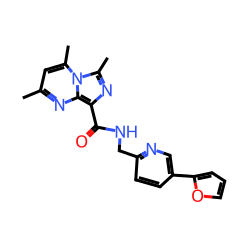 Cc1cc(C)n2c(C)nc(C(=O)NCc3ccc(-c4ccco4)cn3)c2n1